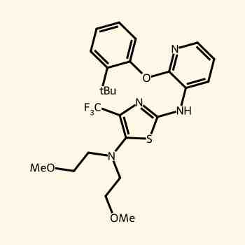 COCCN(CCOC)c1sc(Nc2cccnc2Oc2ccccc2C(C)(C)C)nc1C(F)(F)F